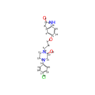 O=C1Cc2cc(OCCCN3CCN(c4ccc(Cl)cc4)CC3=O)ccc2N1